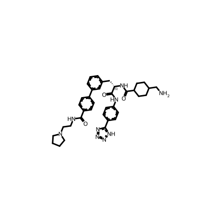 NCC1CCC(C(=O)N[C@@H](Cc2cccc(-c3ccc(C(=O)NCCN4CCCC4)cc3)c2)C(=O)Nc2ccc(-c3nnn[nH]3)cc2)CC1